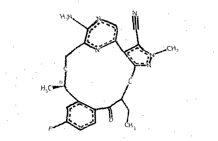 CCC1Cc2nn(C)c(C#N)c2-c2cnc(N)c(n2)CC[C@H](C)c2cc(F)ccc2C1=O